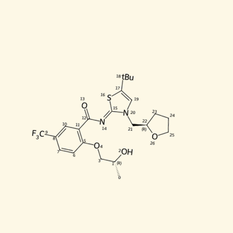 C[C@@H](O)COc1ccc(C(F)(F)F)cc1C(=O)N=c1sc(C(C)(C)C)cn1C[C@H]1CCCO1